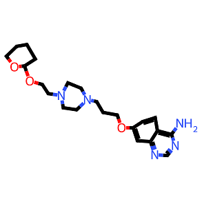 Nc1ncnc2cc(OCCCN3CCN(CCOC4CCCCO4)CC3)ccc12